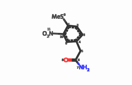 CSc1ccc(CC(N)=O)cc1[N+](=O)[O-]